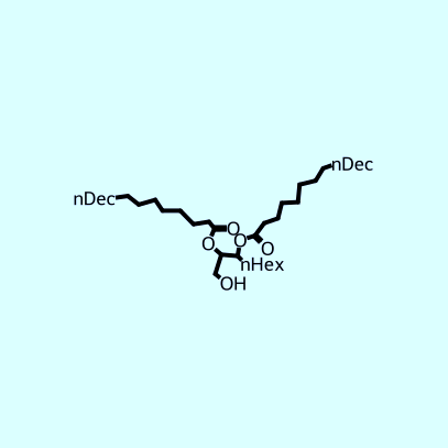 CCCCCCCCCCCCCCCCCC(=O)OC(CO)C(CCCCCC)OC(=O)CCCCCCCCCCCCCCCCC